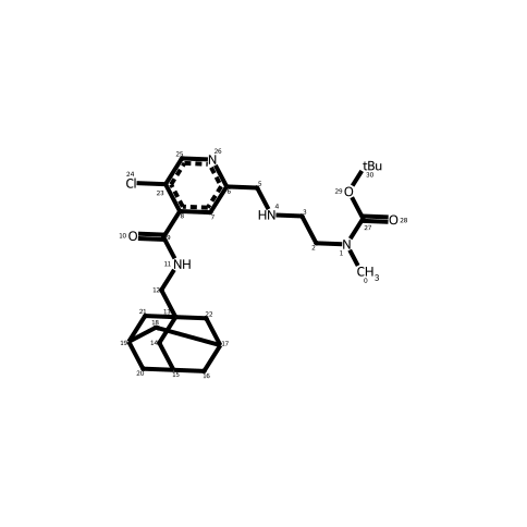 CN(CCNCc1cc(C(=O)NCC23CC4CC(CC(C4)C2)C3)c(Cl)cn1)C(=O)OC(C)(C)C